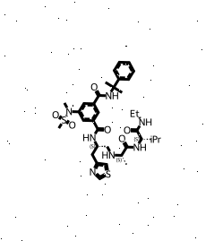 CCNC(=O)[C@@H](NC(=O)[C@H](C)NC[C@H](Cc1cscn1)NC(=O)c1cc(C(=O)NC(C)(C)c2ccccc2)cc(N(C)S(C)(=O)=O)c1)C(C)C